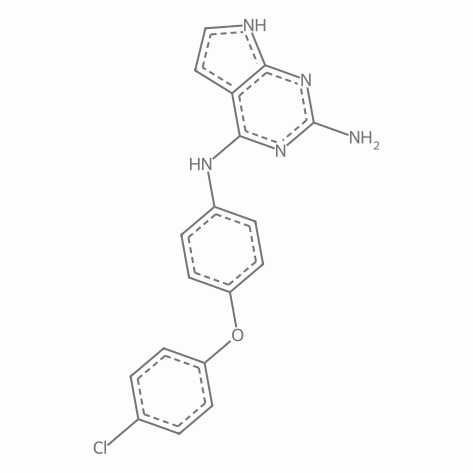 Nc1nc(Nc2ccc(Oc3ccc(Cl)cc3)cc2)c2cc[nH]c2n1